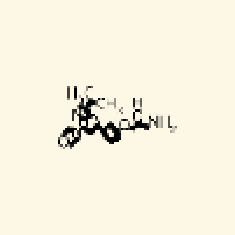 CC(C)c1cnn2c(N3CCOCC3)cc(-c3cccc(OC[C@H](O)CN)c3)nc12